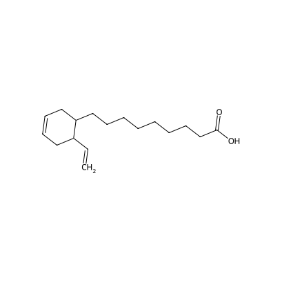 C=CC1CC=CCC1CCCCCCCCC(=O)O